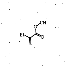 C=C(CC)C(=O)OC#N